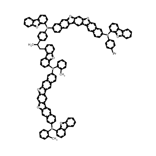 Cc1ccccc1N(c1ccc2cc3c(cc2c1)oc1cc2oc4cc5cc(N(c6ccccc6C)c6cccc7c6oc6cccc(CC(C)c8ccc(N(c9ccc%10cc%11c(cc%10c9)oc9cc%10oc%12cc%13cc(N(c%14ccc(C(C)C)cc%14)c%14cccc%15c%14oc%14ccccc%14%15)ccc%13cc%12c%10cc9%11)c9cccc%10c9oc9ccccc9%10)cc8)c67)ccc5cc4c2cc13)c1cccc2c1oc1ccccc12